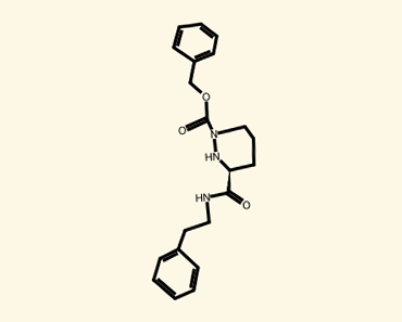 O=C(NCCc1ccccc1)[C@@H]1CCCN(C(=O)OCc2ccccc2)N1